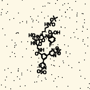 CC(C)(C)OC(=O)NCCCC[C@H](NC(=O)[C@H](CO)NC(=O)CNC(=O)c1cc(-c2cnc(S(C)(=O)=O)nc2)cc(-c2cnc(S(C)(=O)=O)nc2)c1)C(=O)Nc1cc(F)ccc1C(=O)O